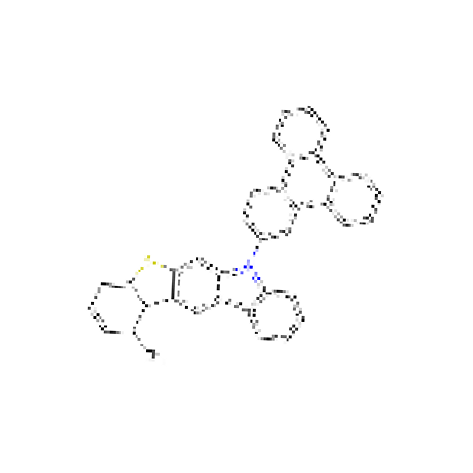 CC1C=CC=C2Sc3cc4c(cc3C21)c1ccccc1n4-c1ccc2c3ccccc3c3ccccc3c2c1